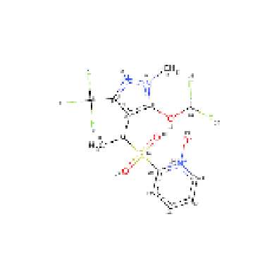 CC(c1c(C(F)(F)F)nn(C)c1OC(F)F)S(=O)(=O)c1cccc[n+]1[O-]